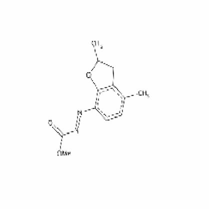 COC(=O)/N=N/c1ccc(C)c2c1OC(C)C2